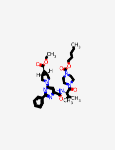 CCCCCOC(=O)N1CCN(C(=O)[C@@H](NC(=O)c2cc(N3C[C@@H]4[C@H](C3)[C@@H]4C(=O)OCC)nc(-c3ccccc3)n2)C(C)C)CC1